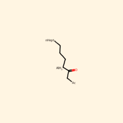 CCCCCCCCCCCC(=O)CC(C)=O.[AlH3]